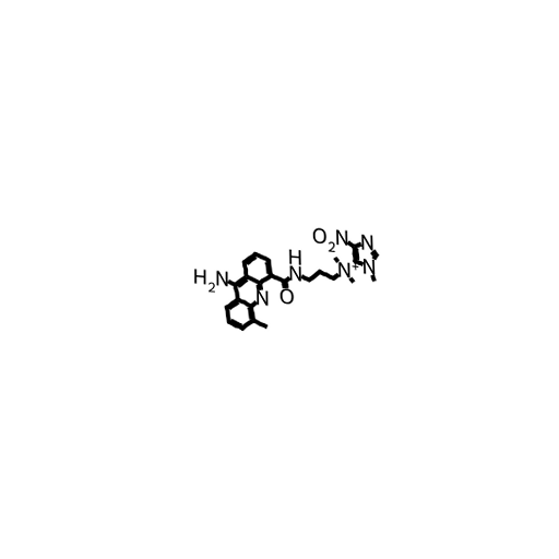 Cc1cccc2c(N)c3cccc(C(=O)NCCC[N+](C)(C)c4c([N+](=O)[O-])ncn4C)c3nc12